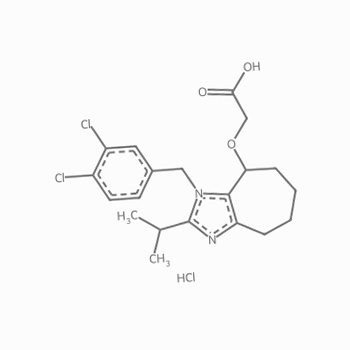 CC(C)c1nc2c(n1Cc1ccc(Cl)c(Cl)c1)C(OCC(=O)O)CCCC2.Cl